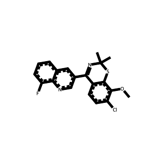 COc1c(Cl)ccc2c1SC(C)(C)N=C2c1cnc2c(F)cccc2c1